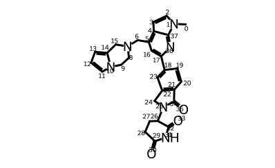 Cn1ccc2c(CN3CCn4cccc4C3)cc(-c3ccc4c(c3)CN(C3CCC(=O)NC3=O)C4=O)nc21